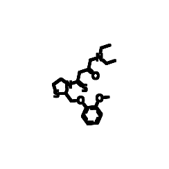 CCN(CC)CC(=O)CC(=S)N1CCSC1COc1ccccc1OC